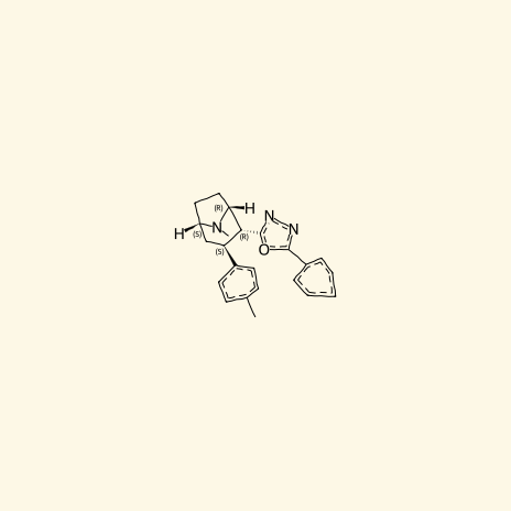 Cc1ccc([C@H]2C[C@@H]3CC[C@H]([C@@H]2c2nnc(-c4ccccc4)o2)N3C)cc1